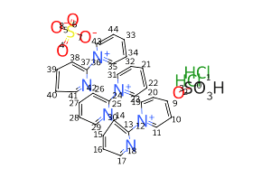 Cl.Cl.O=S(=O)([O-])O.O=S(=O)([O-])[O-].c1cc[n+](-c2ccccn2)cc1.c1cc[n+](-c2ccccn2)cc1.c1cc[n+](-c2ccccn2)cc1